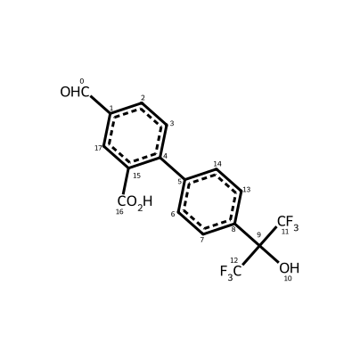 O=Cc1ccc(-c2ccc(C(O)(C(F)(F)F)C(F)(F)F)cc2)c(C(=O)O)c1